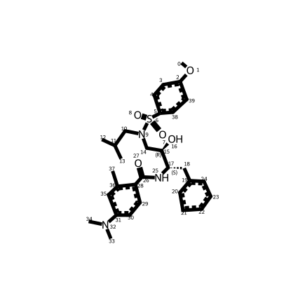 COc1ccc(S(=O)(=O)N(CC(C)C)C[C@@H](O)[C@H](Cc2ccccc2)NC(=O)c2ccc(N(C)C)cc2C)cc1